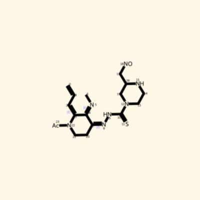 C=C\C=C1C(=N\C)/C(=N\NC(=S)N2CCNC(CN=O)C2)CCN/1C(C)=O